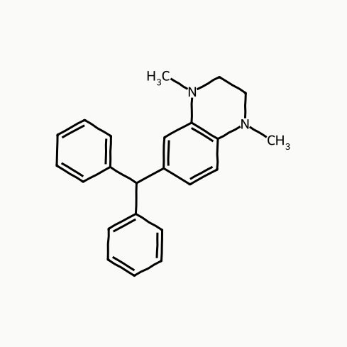 CN1CCN(C)c2cc(C(c3ccccc3)c3ccccc3)ccc21